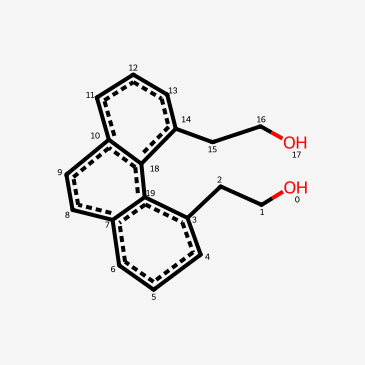 OCCc1cccc2ccc3cccc(CCO)c3c12